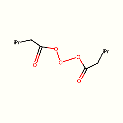 CC(C)CC(=O)OOOC(=O)CC(C)C